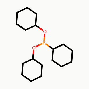 C1CCC(OP(OC2CCCCC2)C2CCCCC2)CC1